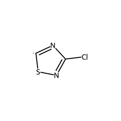 Clc1n[c]sn1